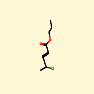 CCCOC(=O)/C=C/C(C)Cl